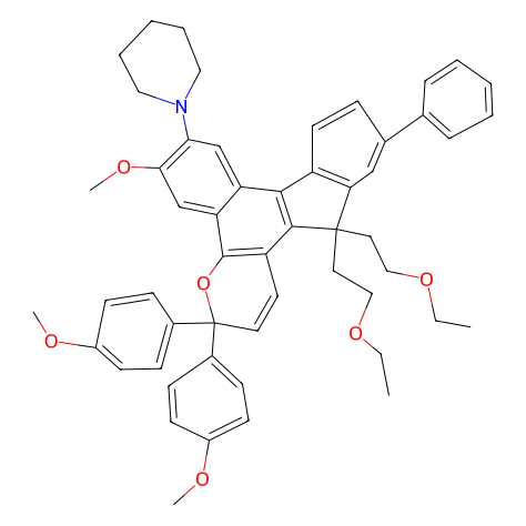 CCOCCC1(CCOCC)c2cc(-c3ccccc3)ccc2-c2c1c1c(c3cc(OC)c(N4CCCCC4)cc23)OC(c2ccc(OC)cc2)(c2ccc(OC)cc2)C=C1